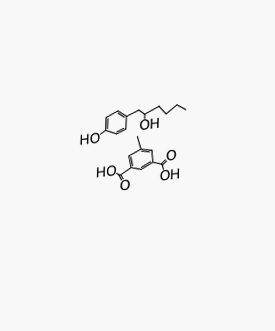 CCCCC(O)Cc1ccc(O)cc1.Cc1cc(C(=O)O)cc(C(=O)O)c1